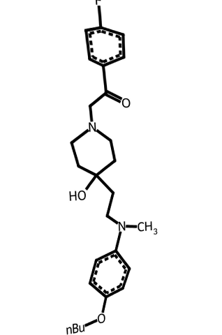 CCCCOc1ccc(N(C)CCC2(O)CCN(CC(=O)c3ccc(F)cc3)CC2)cc1